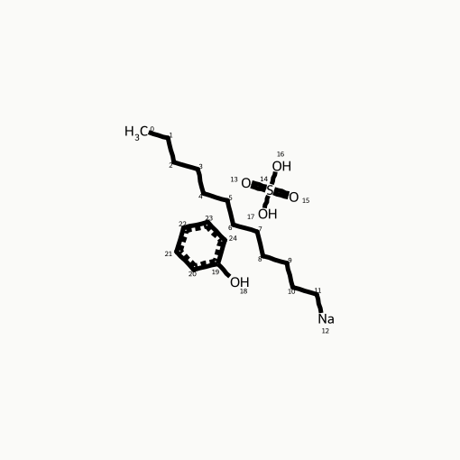 CCCCCCCCCCC[CH2][Na].O=S(=O)(O)O.Oc1ccccc1